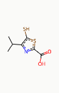 CC(C)c1nc(C(=O)O)sc1S